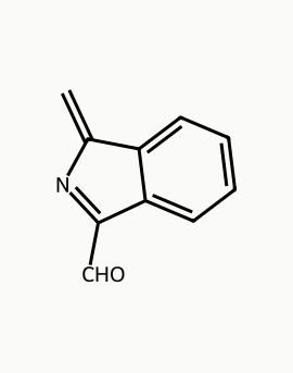 C=C1N=C(C=O)c2ccccc21